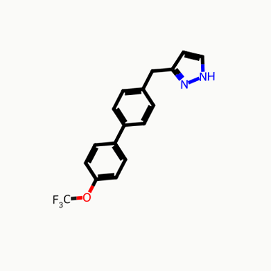 FC(F)(F)Oc1ccc(-c2ccc(Cc3cc[nH]n3)cc2)cc1